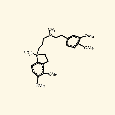 COc1ccc(CCN(C)CCCC2(C(=O)O)CCc3c2ccc(OC)c3OC)cc1OC